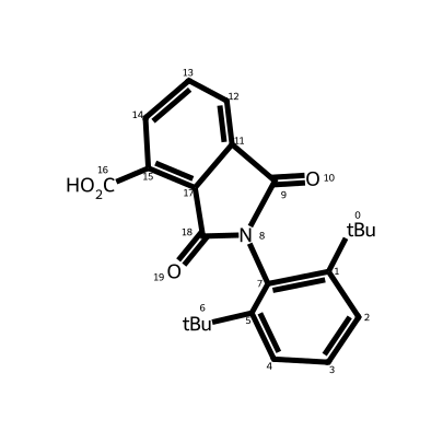 CC(C)(C)c1cccc(C(C)(C)C)c1N1C(=O)c2cccc(C(=O)O)c2C1=O